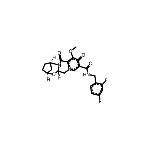 COc1c2n(cc(C(=O)NCc3ccc(F)cc3F)c1=O)C[C@@H]1O[C@H]3CC[C@H](C3)N1C2=O